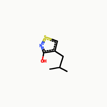 CC(C)Cc1csnc1O